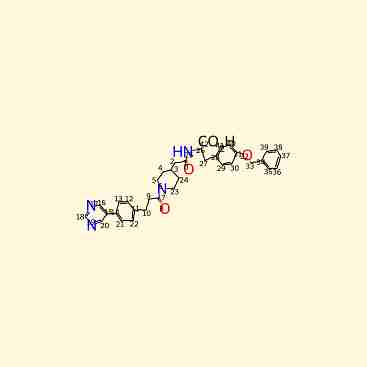 O=C(CC1CCN(C(=O)CCc2ccc(-c3cncnc3)cc2)CC1)NC(Cc1ccc(OCc2ccccc2)cc1)C(=O)O